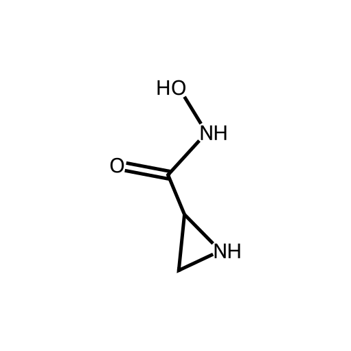 O=C(NO)C1CN1